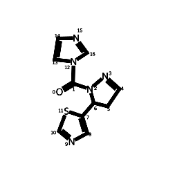 O=C(N1N=CCC1c1cncs1)n1ccnc1